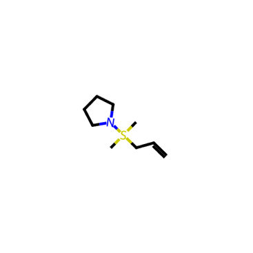 C=CCS(C)(C)N1CCCC1